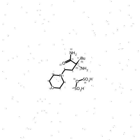 CC[C@H](C)[C@@](N)(CCN1CCOCC1)C(N)=O.O=S(=O)(O)OS(=O)(=O)O